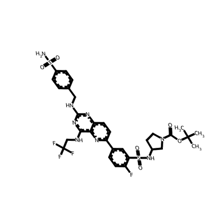 CC(C)(C)OC(=O)N1CCC(NS(=O)(=O)c2cc(-c3ccc4nc(NCc5ccc(S(N)(=O)=O)cc5)nc(NCC(F)(F)F)c4n3)ccc2F)C1